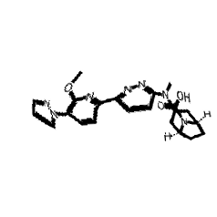 COc1nc(-c2ccc(N(C)C3C[C@H]4CC[C@@H](C3)N4C(=O)O)nn2)ccc1-n1cccn1